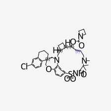 CN1C/C=C/[C@H](OC(=O)N2CCC2)[C@@H]2CC[C@H]2CN2C[C@@]3(CCCc4cc(Cl)ccc43)COc3ccc(cc32)S(=O)(=O)NC(=O)C1(C)C